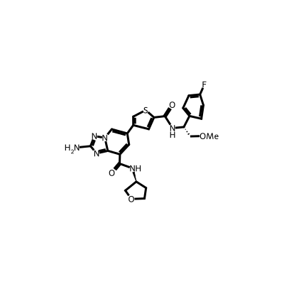 COC[C@H](NC(=O)c1cc(-c2cc(C(=O)N[C@H]3CCOC3)c3nc(N)nn3c2)cs1)c1ccc(F)cc1